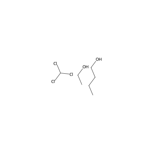 CCCCO.CCO.ClC(Cl)Cl